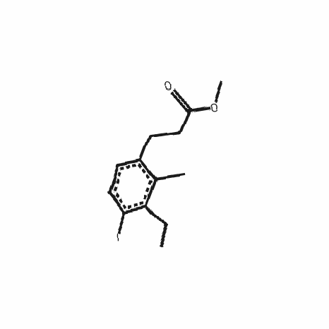 CCc1c(I)ccc(CCC(=O)OC)c1C